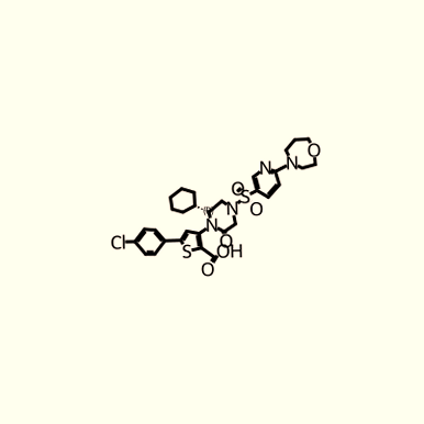 O=C(O)c1sc(-c2ccc(Cl)cc2)cc1N1C(=O)CN(S(=O)(=O)c2ccc(N3CCCOCC3)nc2)C[C@H]1C1CCCCC1